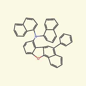 c1ccc(-c2cc3c(oc4cccc(N(c5cccc6ccccc56)c5cccc6ccccc56)c43)c3ccccc23)cc1